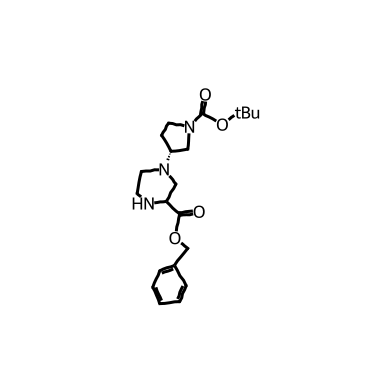 CC(C)(C)OC(=O)N1CC[C@@H](N2CCNC(C(=O)OCc3ccccc3)C2)C1